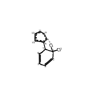 ClC1(Cl)C=CC=CC1c1ccccc1